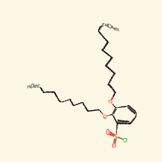 CCCCCCCCCCCCCCCCCCOc1cccc(S(=O)(=O)Cl)c1OCCCCCCCCCCCCCCCCCC